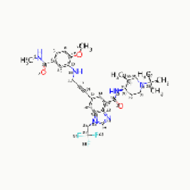 CNC(=O)c1ccc(OC)c(NCC#Cc2cc(C(=O)N[C@@H]3CCN(C(C)(C)C)C[C@@H]3C)c3ncn(CC(F)(F)F)c3c2)c1